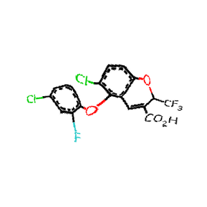 O=C(O)C1=Cc2c(ccc(Cl)c2Oc2ccc(Cl)cc2F)OC1C(F)(F)F